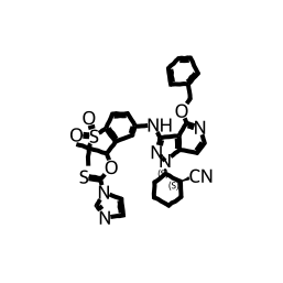 CC1(C)C(OC(=S)n2ccnc2)c2cc(Nc3nn([C@H]4CCCC[C@@H]4C#N)c4ccnc(OCc5ccccc5)c34)ccc2S1(=O)=O